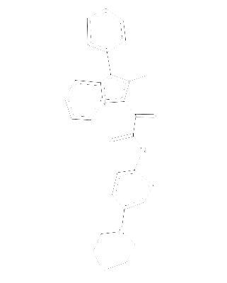 Cc1c(-c2ccccc2)c2ccccn2c1C(=O)C(=O)Nc1ccc(N2CCOCC2)cc1